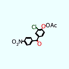 CC(=O)OOc1ccc(C(=O)c2ccc([N+](=O)[O-])cc2)cc1Cl